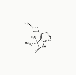 CC1(C)C(=O)Nc2nccc([C@H]3C[C@H](N)C3)c21.Cl